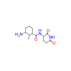 CC1C(N)CCCC1C(=O)NC1CCC(=O)NC1=O